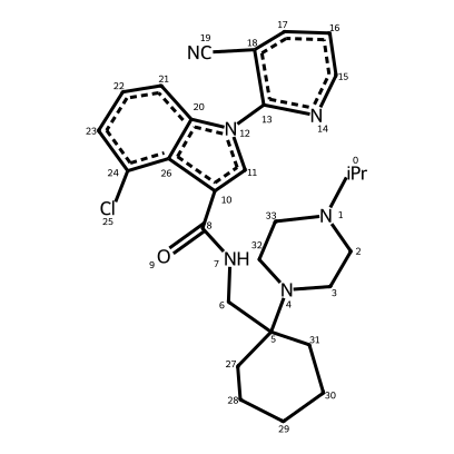 CC(C)N1CCN(C2(CNC(=O)c3cn(-c4ncccc4C#N)c4cccc(Cl)c34)CCCCC2)CC1